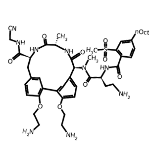 CCCCCCCCc1ccc(C(=O)N[C@@H](CCN)C(=O)N(C)[C@@H]2C(=O)N[C@@H](C)C(=O)N[C@H](C(=O)NCC#N)Cc3ccc(OCCN)c(c3)-c3cc2ccc3OCCN)c(S(C)(=O)=O)c1